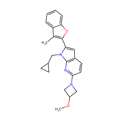 COC1CN(c2ccc3cc(-c4oc5ccccc5c4C)n(CC4CC4)c3n2)C1